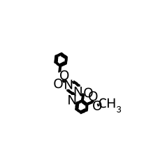 COC(=O)c1cccc2nc3n(c(=O)c12)CCN(C(=O)OCc1ccccc1)C3